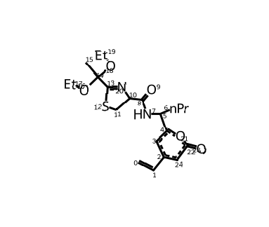 C=Cc1cc(C(CCC)NC(=O)C2CSC(C(C)(OCC)OCC)=N2)oc(=O)c1